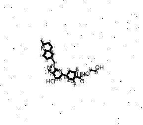 Cc1ccc2cc(Cn3nnc4ccc(-c5cc(F)c(C(=O)NOCCO)c(F)c5)nc43)ccc2n1.Cl